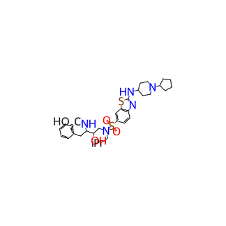 CC(C)CN(CC(O)C(Cc1ccccc1)NC(=O)O)S(=O)(=O)c1ccc2nc(NC3CCN(C4CCCC4)CC3)sc2c1